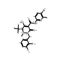 Cc1nc(NC(=O)C2=C(O)[C@H](C(C)(C)C)N(C)N(Cc3cccc(F)c3F)C2=O)ccc1Br